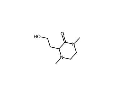 CN1CCN(C)C(CCO)C1=O